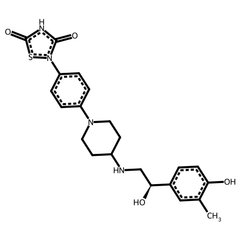 Cc1cc([C@@H](O)CNC2CCN(c3ccc(-n4sc(=O)[nH]c4=O)cc3)CC2)ccc1O